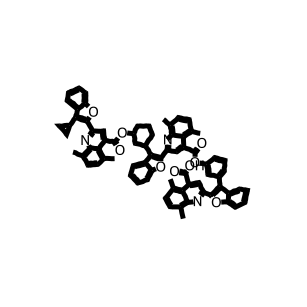 Cc1ccc(C)c2c(C(=O)O)cc(-c3oc4ccccc4c3-c3cccc(OC(=O)c4cc(-c5oc6ccccc6c5C5CCCC(OC(=O)c6cc(-c7oc8ccccc8c7C7CC7)nc7c(C)ccc(C)c67)C5)nc5c(C)ccc(C)c45)c3)nc12